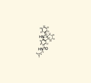 O=C(NCC1CC1)c1ccc2c(c1)C1CCCCC1C(c1ccccc1)N2